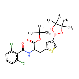 CC(C)(C)OC(=O)C(Cc1cc(B2OC(C)(C)C(C)(C)O2)cs1)NC(=O)c1c(Cl)cccc1Cl